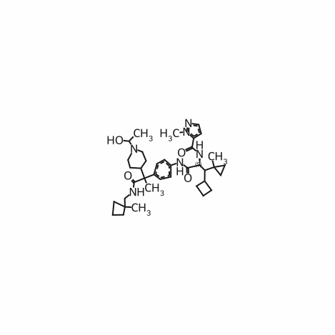 CC(O)N1CCC(C(C)(C(=O)NCC2(C)CCC2)c2ccc(NC(=O)[C@@H](NC(=O)c3ccnn3C)C(C3CCC3)C3(C)CC3)cc2)CC1